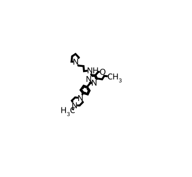 CC1Cc2nc(-c3ccc(N4CCN(C)CC4)cc3)nc(NCCCN3CCCC3)c2CO1